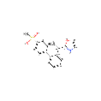 CS(=O)(=O)c1ccc(-c2ccccc2C(C(=O)O)c2ncco2)cc1